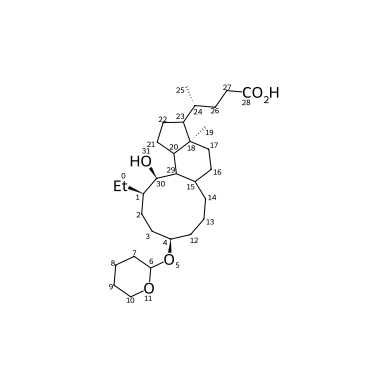 CC[C@@H]1CC[C@H](OC2CCCCO2)CCCC2CC[C@@]3(C)C(CCC3[C@H](C)CCC(=O)O)C2[C@@H]1O